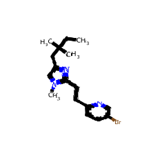 CCC(C)(C)Cc1cn(C)c(CCc2ccc(Br)cn2)n1